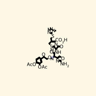 CC(=O)Oc1ccc(C(=O)CO/N=C(\C(=O)N[C@@H]2C(=O)N3C(C(=O)O)=C(CSc4nnnn4C)CS[C@H]23)c2coc(N)n2)cc1OC(C)=O